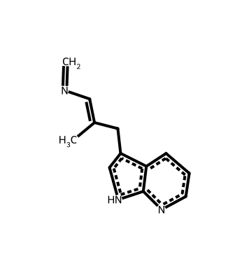 C=N/C=C(\C)Cc1c[nH]c2ncccc12